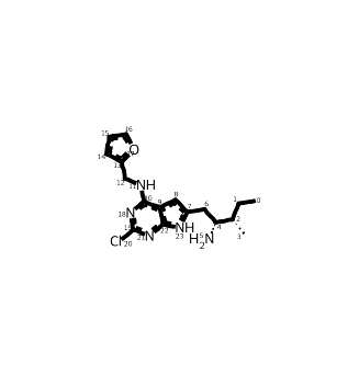 CC[C@H](C)[C@H](N)Cc1cc2c(NCc3ccco3)nc(Cl)nc2[nH]1